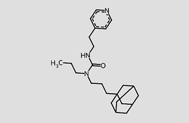 CCCN(CCCC12CC3CC(CC(C3)C1)C2)C(=O)NCCc1ccncc1